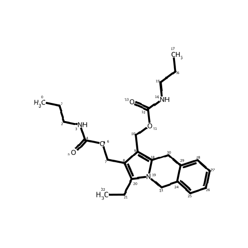 CCCNC(=O)OCc1c(COC(=O)NCCC)c2n(c1CC)Cc1ccccc1C2